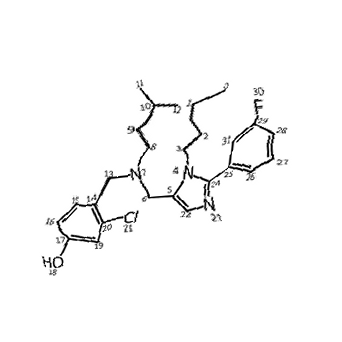 CCCCn1c(CN(CCC(C)C)Cc2ccc(O)cc2Cl)cnc1-c1cccc(F)c1